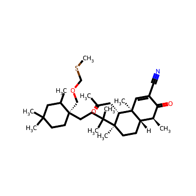 CSCOC[C@]1(CCC(C)(C)[C@]2(C)CC[C@H]3[C@H](C)C(=O)C(C#N)=C[C@]3(C)[C@H]2CC(C)=O)CCC(C)(C)CC1C